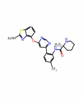 CC(=O)Nc1nc2c(Oc3cc(-c4ccc(C(F)(F)F)cc4NC(=O)[C@]4(C)CCCCN4)ncn3)cccc2s1